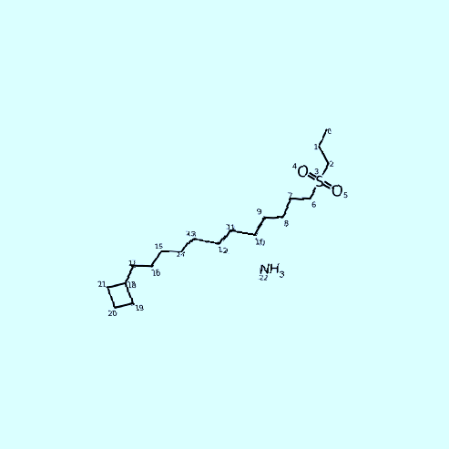 CCCS(=O)(=O)CCCCCCCCCCCCC1CCC1.N